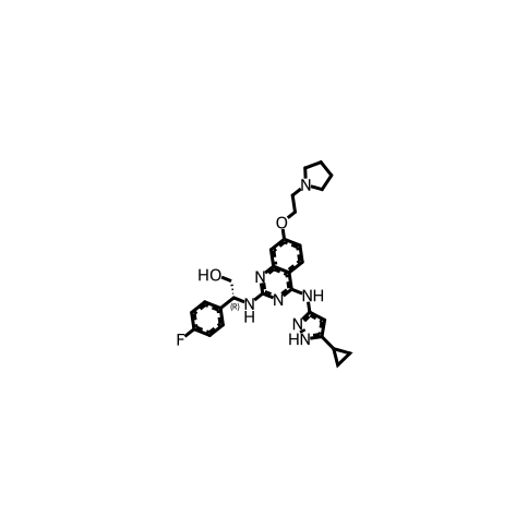 OC[C@H](Nc1nc(Nc2cc(C3CC3)[nH]n2)c2ccc(OCCN3CCCC3)cc2n1)c1ccc(F)cc1